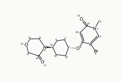 Cn1cc(Br)c(O[C@H]2CC[C@H](N3CCOCC3=O)CC2)cc1=O